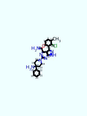 Cc1cccc(-c2n[nH]c3nc(N4CCC(N)(c5ccccc5)CC4)nc(C(N)=O)c23)c1Cl